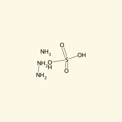 N.NN.O=S(=O)(O)O